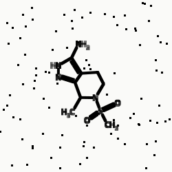 CC1c2n[nH]c(N)c2CCN1S(C)(=O)=O